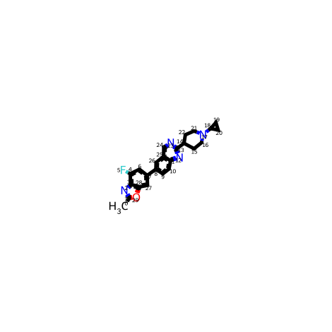 Cc1nc2c(F)cc(-c3ccc4nc(C5CCN(C6CC6)CC5)ncc4c3)cc2o1